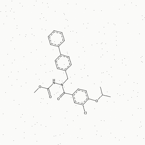 COC(=O)NN(Cc1ccc(-c2ccccc2)cc1)C(=O)c1ccc(OC(C)C)c(Cl)c1